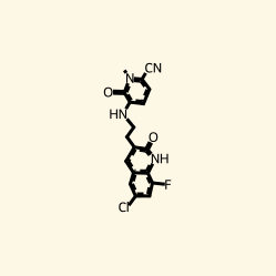 Cn1c(C#N)ccc(NCCc2cc3cc(Cl)cc(F)c3[nH]c2=O)c1=O